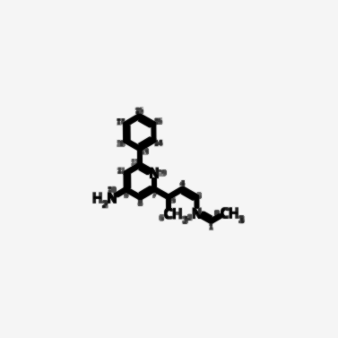 C/C=N\C=C/C(C)c1cc(N)cc(-c2ccccc2)n1